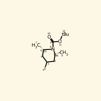 C[C@@H]1CC(I)C[C@H](C)N1C(=O)OC(C)(C)C